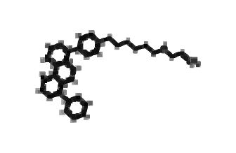 C=CCOCCCCCCc1ccc(-c2ccnc3c2ccc2c(-c4ccccc4)ccnc23)cc1